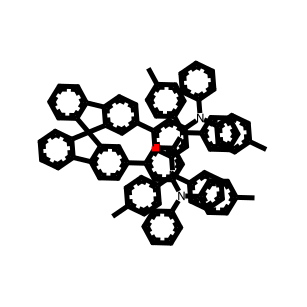 Cc1ccc(N(c2ccccc2)c2cc(-c3ccc4c(c3)C3(c5ccccc5-4)c4ccccc4-c4ccc(-c5cc(N(c6ccccc6)c6ccc(C)cc6)cc(N(c6ccccc6)c6ccc(C)cc6)c5)cc43)cc(N(c3ccccc3)c3ccc(C)cc3)c2)cc1